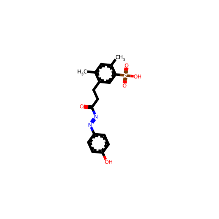 Cc1cc(C)c(S(=O)(=O)O)cc1CCC(=O)N=Nc1ccc(O)cc1